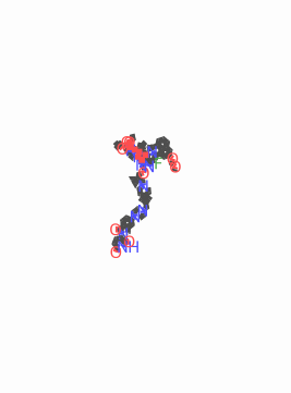 CCOC1CC2CN(c3nc(OCC4(CN5CCC6(CC5)CC(CN5CCN(c7ccc8c(c7)CN([C@H]7CCC(=O)NC7=O)C8=O)CC5)C6)CC4)nc4c(F)c(-c5cc(OCOC)cc6cccc(C#C[Si](C(C)C)(C(C)C)C(C)C)c56)ncc34)CC1N2C(=O)OC(C)(C)C